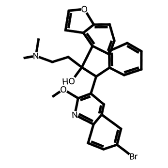 COc1nc2ccc(Br)cc2cc1C(c1ccccc1)C(O)(CCN(C)C)c1cccc2occc12